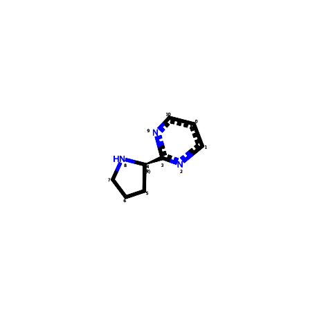 c1cnc([C@H]2CCCN2)nc1